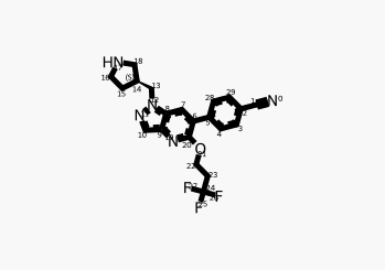 N#Cc1ccc(-c2cc3c(cnn3C[C@H]3CCNC3)nc2OCCC(F)(F)F)cc1